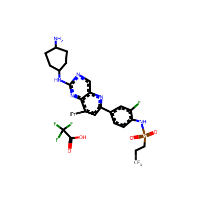 CC(C)c1cc(-c2ccc(NS(=O)(=O)CCC(F)(F)F)c(F)c2)nc2cnc(NC3CCC(N)CC3)nc12.O=C(O)C(F)(F)F